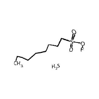 CCCCCCCCS(=O)(=O)OF.S